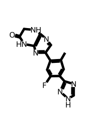 Cc1cc(-c2nc[nH]n2)c(F)cc1-c1cnc2c(n1)NC(=O)CN2